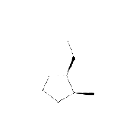 CC[C@@H]1CCC[C@@H]1C